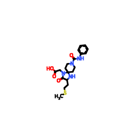 CSCCC1NC2(CCN(C(=O)Nc3ccccc3)CC2)N(CC(=O)O)C1=O